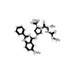 COC(=O)[C@@H]1C[C@@H](Oc2nc(-c3ccccc3)nc3ccc(OC)cc23)CN1C(=O)[C@@H](NC(=O)OC(C)(C)C)C(C)(C)C